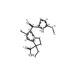 CCC1(C(=O)O)CCn2c1cc(C)c2C(=O)c1ccc(SC)[nH]1